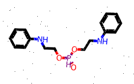 O=[PH](OCCNc1ccccc1)OCCNc1ccccc1